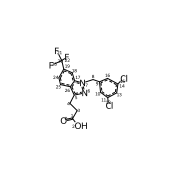 O=C(O)CCc1nn(Cc2cc(Cl)cc(Cl)c2)c2cc(C(F)(F)F)ccc12